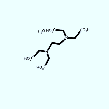 O.O=C(O)CN(CCN(CC(=O)O)CC(=O)O)CC(=O)O